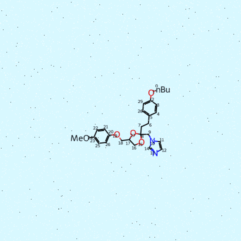 CCCCOc1ccc(CCC2(Cn3ccnc3)OCC(COc3ccc(OC)cc3)O2)cc1